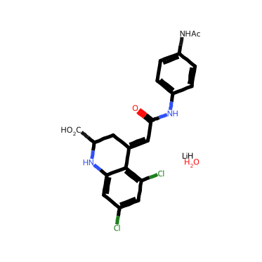 CC(=O)Nc1ccc(NC(=O)/C=C2\CC(C(=O)O)Nc3cc(Cl)cc(Cl)c32)cc1.O.[LiH]